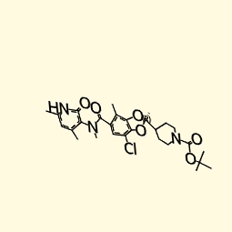 Cc1cc(C)c(N(C)C(=O)c2cc(Cl)c3c(c2C)O[C@@](C)(C2CCN(C(=O)OC(C)(C)C)CC2)O3)c(=O)[nH]1